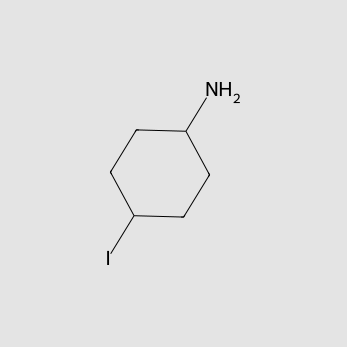 NC1CCC(I)CC1